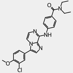 CCN(CC)C(=O)c1ccc(Nc2nccn3c(-c4ccc(OC)c(Cl)c4)cnc23)cc1